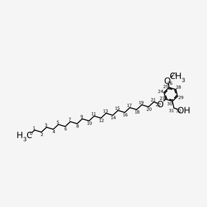 CCCCCCCCCCCCCCCCCCCCCCOc1cc(OC)ccc1CO